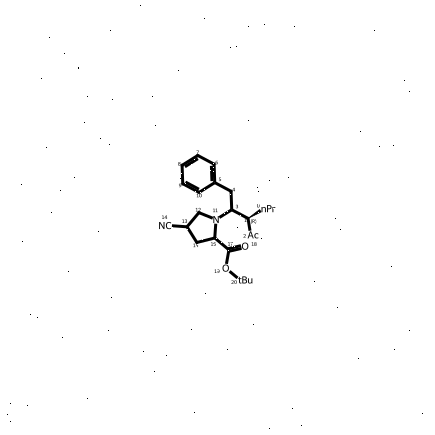 CCC[C@@H](C(C)=O)C(Cc1ccccc1)N1CC(C#N)CC1C(=O)OC(C)(C)C